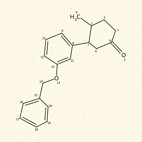 CC1CCC(=O)CC1c1cccc(OCc2ccccc2)c1